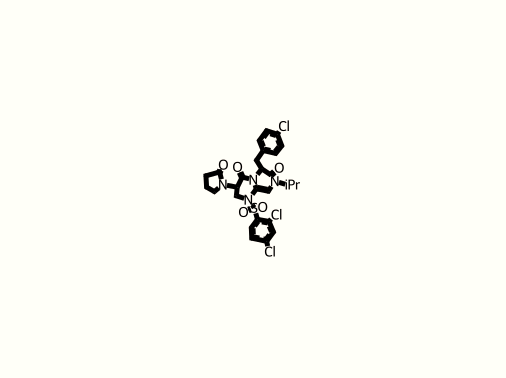 CC(C)N1C=C2N(C(=O)C(N3CCCC3=O)CN2S(=O)(=O)c2ccc(Cl)cc2Cl)C(Cc2ccc(Cl)cc2)C1=O